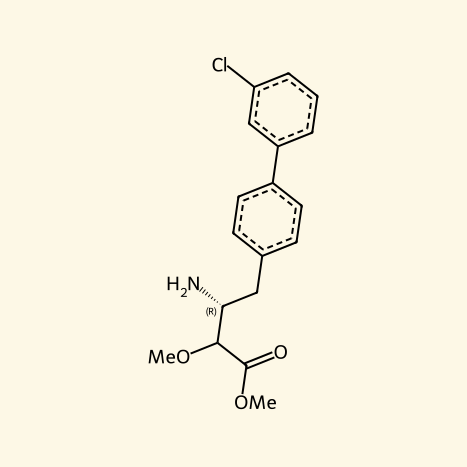 COC(=O)C(OC)[C@H](N)Cc1ccc(-c2cccc(Cl)c2)cc1